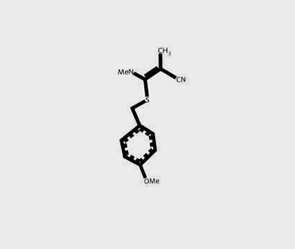 CN/C(SCc1ccc(OC)cc1)=C(\C)C#N